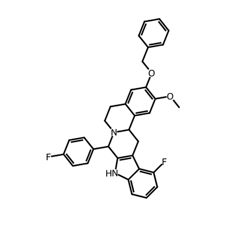 COc1cc2c(cc1OCc1ccccc1)CCN1C2Cc2c([nH]c3cccc(F)c23)C1c1ccc(F)cc1